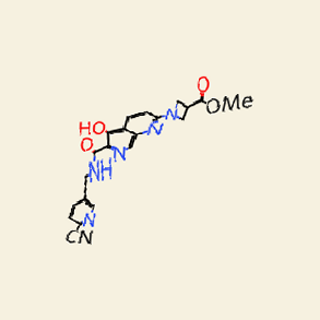 COC(=O)C1CN(c2ccc3c(O)c(C(=O)NCc4ccc(C#N)nc4)ncc3n2)C1